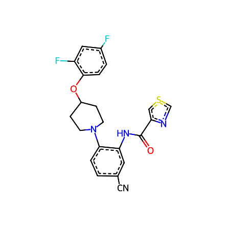 N#Cc1ccc(N2CCC(Oc3ccc(F)cc3F)CC2)c(NC(=O)c2cscn2)c1